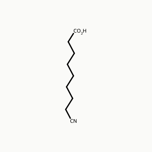 N#CCCCCCCCC(=O)O